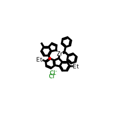 CCc1ccc2c(c1)[CH]([Zr+2](=[C](c1ccccc1)c1ccccc1)[CH]1C=Cc3c(C)ccc(C)c31)c1cc(CC)ccc1-2.[Cl-].[Cl-]